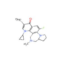 CN1Cc2c(c(F)cc3c(=O)c(C=O)cn(C4CC4)c23)N2CCCC2C1